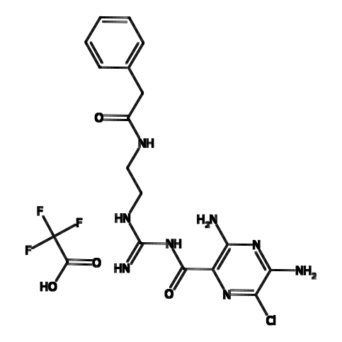 N=C(NCCNC(=O)Cc1ccccc1)NC(=O)c1nc(Cl)c(N)nc1N.O=C(O)C(F)(F)F